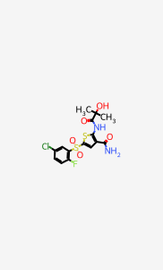 CC(C)(O)C(=O)Nc1sc(S(=O)(=O)c2cc(Cl)ccc2F)cc1C(N)=O